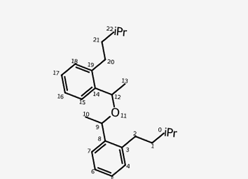 CC(C)CCc1ccccc1C(C)OC(C)c1ccccc1CCC(C)C